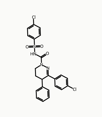 O=C(NS(=O)(=O)c1ccc(Cl)cc1)N1CCC(c2ccccc2)C(c2ccc(Cl)cc2)=N1